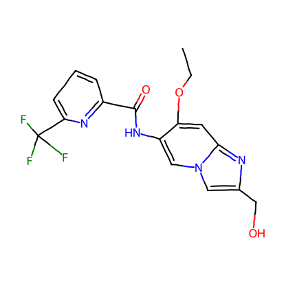 CCOc1cc2nc(CO)cn2cc1NC(=O)c1cccc(C(F)(F)F)n1